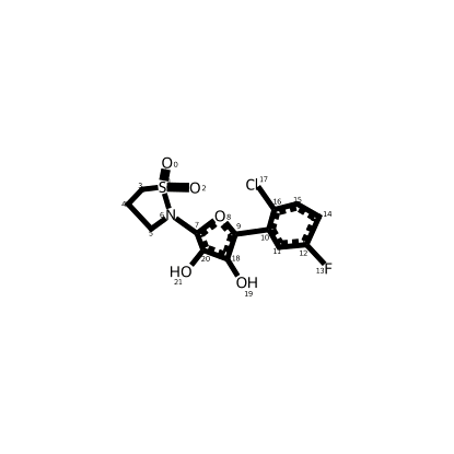 O=S1(=O)CCCN1c1oc(-c2cc(F)ccc2Cl)c(O)c1O